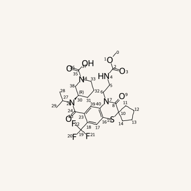 COC(=O)NCCN1C(=O)C2(CCCC2)Sc2cc(C(F)(F)F)c(C(=O)N(C(C)C)[C@@H]3CCCN(C(=O)O)C3)cc21